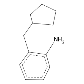 Nc1ccccc1CC1CCCC1